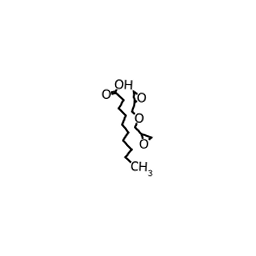 C(OCC1CO1)C1CO1.CCCCCCCCCC(=O)O